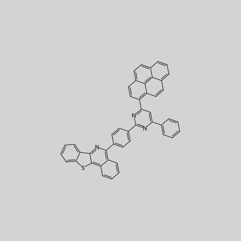 c1ccc(-c2cc(-c3ccc4ccc5cccc6ccc3c4c56)nc(-c3ccc(-c4nc5c6ccccc6sc5c5ccccc45)cc3)n2)cc1